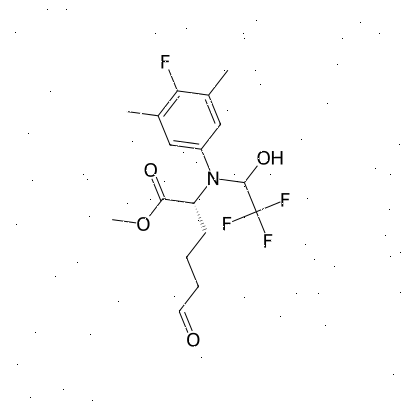 COC(=O)[C@@H](CCCC=O)N(c1cc(C)c(F)c(C)c1)C(O)C(F)(F)F